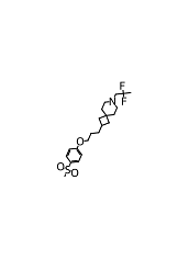 CC(F)(F)CN1CCC2(CC1)CC(CCCOc1ccc(S(C)(=O)=O)cc1)C2